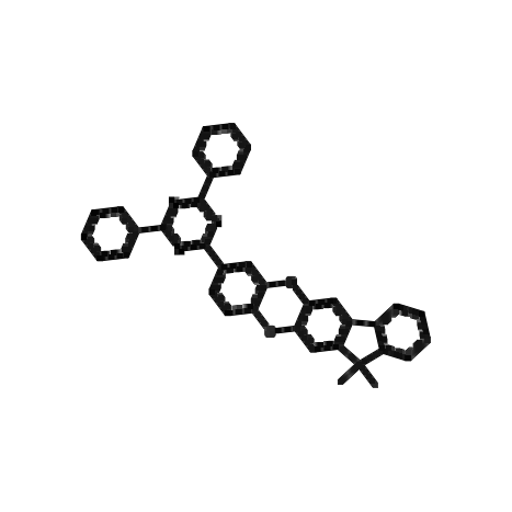 CC1(C)c2ccccc2-c2cc3c(cc21)Oc1ccc(-c2nc(-c4ccccc4)nc(-c4ccccc4)n2)cc1O3